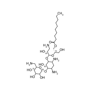 CCCCCCCCCC(=O)OC[C@H](CO)OC(OC1C(N)CC(N)C(O[C@H]2OC(CN)[C@@H](O)C(O)C2O)[C@@H]1O)[C@H](O)CN